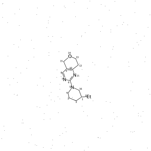 CCC1CCCN(c2ncc3c(n2)CCOC3)C1